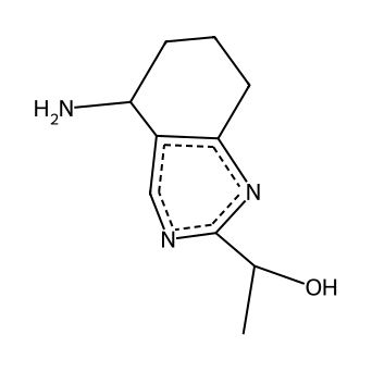 CC(O)c1ncc2c(n1)CCCC2N